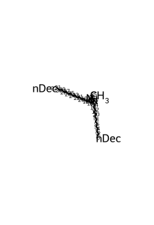 CCCCCCCCCCCCCCCCCCCCCCCCc1cc(CCCCCCCCCCCCCCCCCCCCCCCC)nc(C)n1